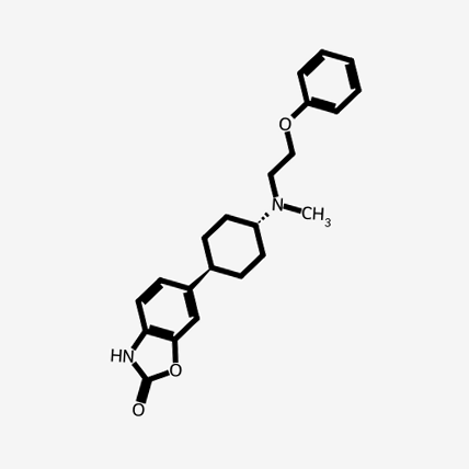 CN(CCOc1ccccc1)[C@H]1CC[C@H](c2ccc3[nH]c(=O)oc3c2)CC1